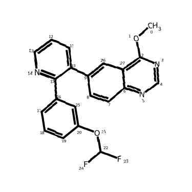 COc1ncnc2ccc(-c3cccnc3-c3cccc(OC(F)F)c3)cc12